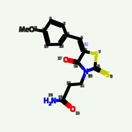 COc1ccc(/C=C2/SC(=S)N(CCC(N)=O)C2=O)cc1